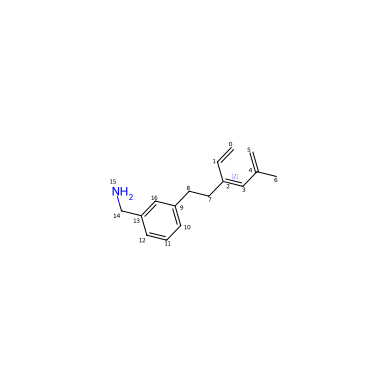 C=C/C(=C\C(=C)C)CCc1cccc(CN)c1